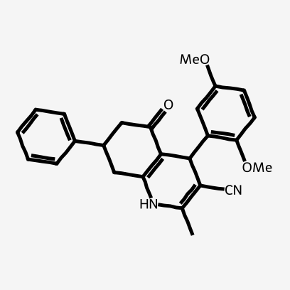 COc1ccc(OC)c(C2C(C#N)=C(C)NC3=C2C(=O)CC(c2ccccc2)C3)c1